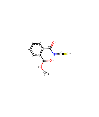 COC(=O)c1ccccc1C(=O)N=C=S